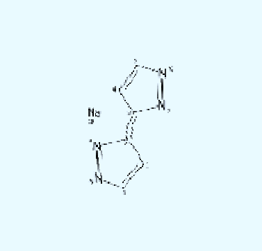 C1=CC(=C2C=CN=N2)N=N1.[Na]